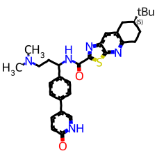 CN(C)CCC(NC(=O)c1nc2cc3c(nc2s1)CC[C@H](C(C)(C)C)C3)c1ccc(-c2ccc(=O)[nH]c2)cc1